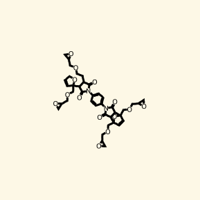 O=C1C(CCOCC2CO2)C(C2(COCC3CO3)C=CCO2)C(=O)N1c1ccc(N2C(=O)C3C(C2=O)C2(COCC4CO4)C=CC3(COCC3CO3)O2)cc1